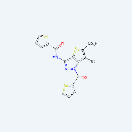 CCc1c(C(=O)O)sc2c(NC(=O)c3cccs3)nn(C(=O)c3cccs3)c12